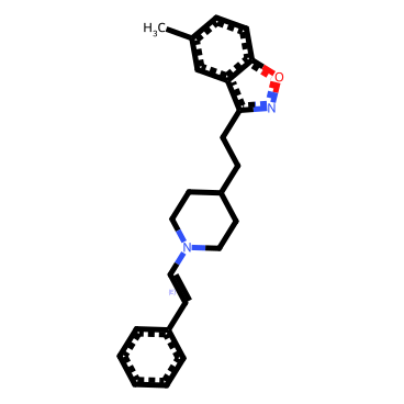 Cc1ccc2onc(CCC3CCN(/C=C/c4ccccc4)CC3)c2c1